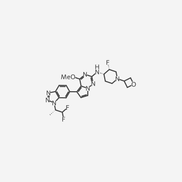 COc1nc(N[C@H]2CCN(C3COC3)C[C@H]2F)nn2ccc(-c3ccc4nnn([C@@H](C)C(F)F)c4c3)c12